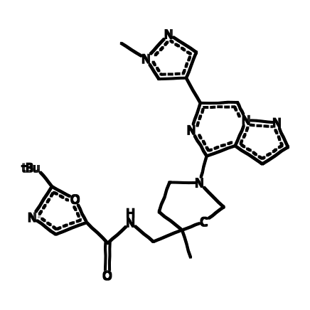 Cn1cc(-c2cn3nccc3c(N3CCC(C)(CNC(=O)c4cnc(C(C)(C)C)o4)CC3)n2)cn1